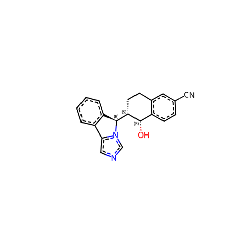 N#Cc1ccc2c(c1)CC[C@@H]([C@@H]1c3ccccc3-c3cncn31)[C@H]2O